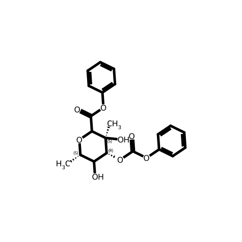 C[C@@H]1OC(C(=O)Oc2ccccc2)[C@@](C)(O)[C@H](OC(=O)Oc2ccccc2)C1O